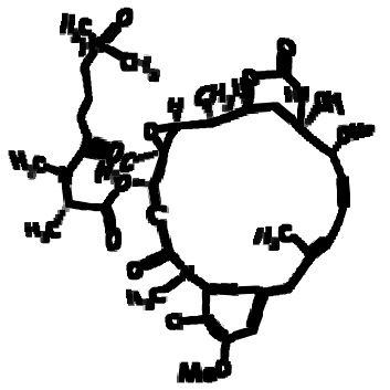 COc1cc2cc(c1Cl)N(C)C(=O)C[C@H](OC(=O)[C@H](C)N(C)C(=O)CCC[SH](C)(C)=O)[C@@]1(C)O[C@H]1[C@H](C)[C@@H]1C[C@@](O)(NC(=O)O1)[C@H](OC)C#C/C=C(\C)C2